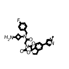 Cn1cc(-c2ccc3c(c2)CC[C@@]32OC(=O)N(CC(=O)N(Cc3ccc(F)cc3)C3CC(N)C3)C2=O)cn1